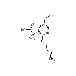 CCc1cnc(OCCOC)c(C2(C(=O)O)CC2)c1